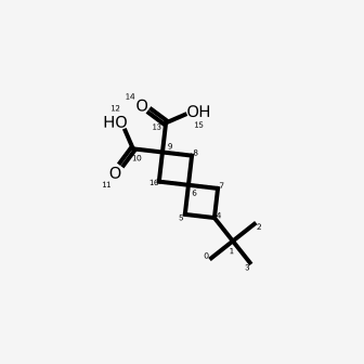 CC(C)(C)C1CC2(C1)CC(C(=O)O)(C(=O)O)C2